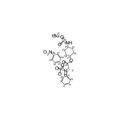 C[C@H](NP(=O)(Oc1ccccc1)Oc1ccc([N+](=O)[O-])cc1)C(=O)OC1CCC(NC(=O)OC(C)(C)C)CC1